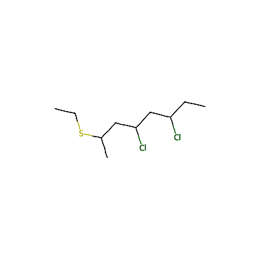 CCSC(C)CC(Cl)CC(Cl)CC